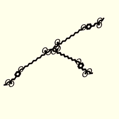 CCOC(=O)/C=C/c1ccc(OCCCCCCCCCCCC(=O)OCC(COC(=O)CCCCCCCCCCCOc2ccc(/C=C/C(=O)OCC)cc2)OC(=O)CCCCCCCCCCCOc2ccc(/C=C/C(=O)OCC)cc2)cc1